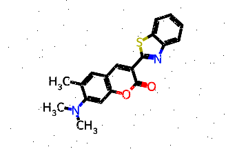 Cc1cc2cc(-c3nc4ccccc4s3)c(=O)oc2cc1N(C)C